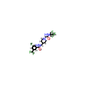 CC(C)(NC(=O)CN1CCC(CNC(=O)c2cc(F)cc(C(F)F)c2)CC1)C(F)(F)F